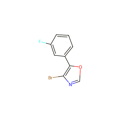 Fc1cccc(-c2ocnc2Br)c1